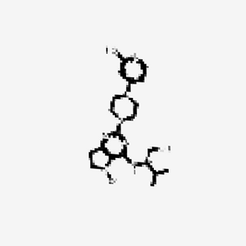 CC(C)[C@H](CO)Nc1nc(N2CCN(c3ccnc(O)c3)CC2)nc2c1[S+]([O-])CC2